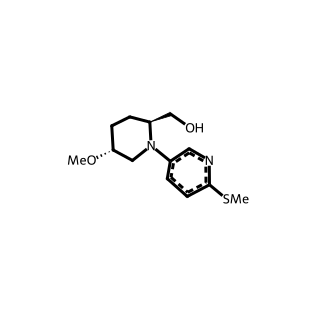 CO[C@@H]1CC[C@@H](CO)N(c2ccc(SC)nc2)C1